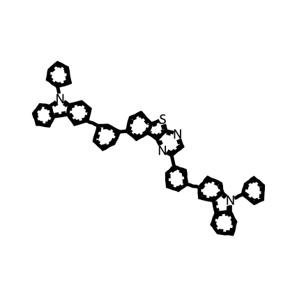 c1ccc(-n2c3ccccc3c3cc(-c4cccc(-c5ccc6sc7ncc(-c8cccc(-c9ccc%10c(c9)c9ccccc9n%10-c9ccccc9)c8)nc7c6c5)c4)ccc32)cc1